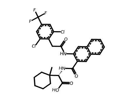 CC1([C@H](NC(=O)c2cc3ccccc3cc2NC(=O)Cc2c(Cl)cc(C(F)(F)F)cc2Cl)C(=O)O)CCCCC1